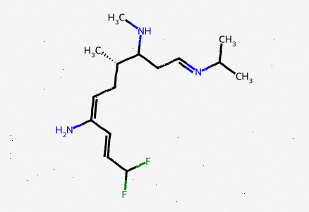 CNC(C/C=N/C(C)C)[C@@H](C)C/C=C(N)\C=C\C(F)F